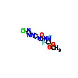 CS(=O)(=O)c1cc(F)c(NC2CCN(C3CCN(c4cnc(Cl)cn4)CC3)C2=O)c(F)c1